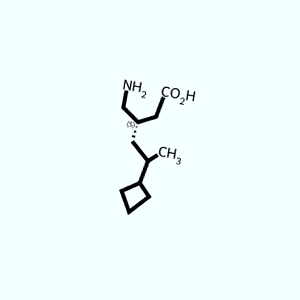 CC(C[C@H](CN)CC(=O)O)C1CCC1